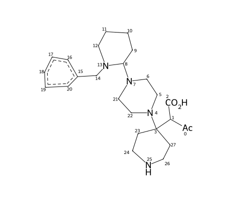 CC(=O)C(C(=O)O)C1(N2CCN(C3CCCCN3Cc3ccccc3)CC2)CCNCC1